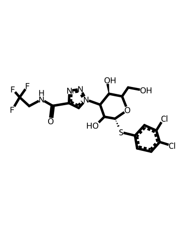 O=C(NCC(F)(F)F)c1cn(C2C(O)[C@@H](Sc3ccc(Cl)c(Cl)c3)OC(CO)[C@@H]2O)nn1